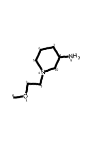 COCCN1CCCC(N)C1